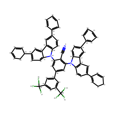 N#Cc1c(-n2c3ccc(C4=CCCC=C4)cc3c3cc(-c4ccccc4)ccc32)cc(-c2cc(C(F)(F)F)cc(C(F)(F)F)c2)cc1-n1c2ccc(-c3ccccc3)cc2c2cc(C3C=CC=CC3)ccc21